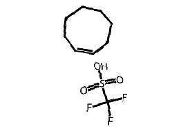 C1=CCCCCCC1.O=S(=O)(O)C(F)(F)F